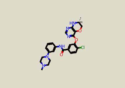 C[C@@H]1COc2c(ncnc2Oc2cc(C(=O)Nc3cccc(N4CCN(C)CC4)c3)ccc2Cl)N1